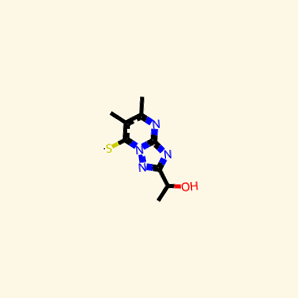 Cc1nc2nc(C(C)O)nn2c([S])c1C